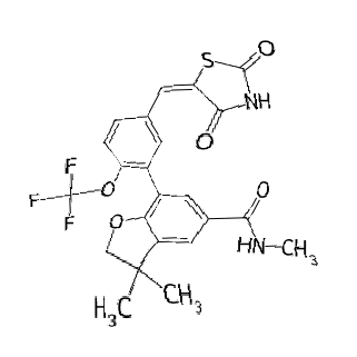 CNC(=O)c1cc(-c2cc(C=C3SC(=O)NC3=O)ccc2OC(F)(F)F)c2c(c1)C(C)(C)CO2